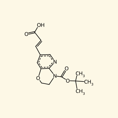 CC(C)(C)OC(=O)N1CCOc2cc(C=CC(=O)O)cnc21